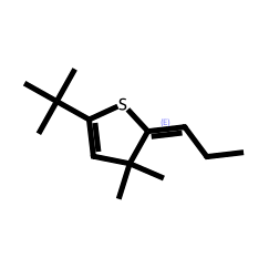 CC/C=C1/SC(C(C)(C)C)=CC1(C)C